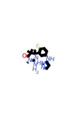 CN1C(=O)C(C)(C)C(C)(c2cc(Nc3ccn[nH]3)ccc2F)N=C1N